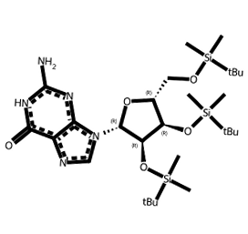 CC(C)(C)[Si](C)(C)OC[C@H]1O[C@@H](n2cnc3c(=O)[nH]c(N)nc32)[C@H](O[Si](C)(C)C(C)(C)C)[C@@H]1O[Si](C)(C)C(C)(C)C